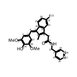 COc1cc(C=C2C(C)=C(CC(=O)NCc3ccnnc3)c3cc(F)ccc32)cc(OC)c1O